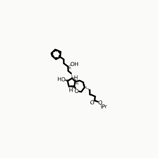 CC(C)OC(=O)CCC[C@H]1CC[C@@H]2[C@@H](CC[C@@H](O)CCc3ccccc3)[C@H](O)C[C@@H]2OC1